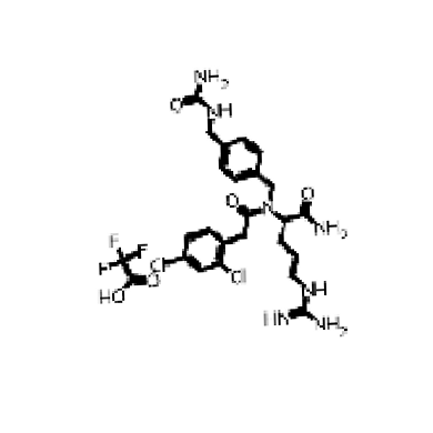 N=C(N)NCCC[C@H](C(N)=O)N(Cc1ccc(CNC(N)=O)cc1)C(=O)Cc1ccc(Cl)cc1Cl.O=C(O)C(F)(F)F